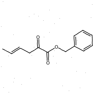 CC=CCC(=O)C(=O)OCc1ccccc1